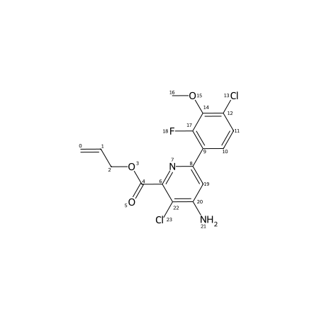 C=CCOC(=O)c1nc(-c2ccc(Cl)c(OC)c2F)cc(N)c1Cl